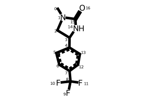 CN1CC(c2ccc(C(F)(F)F)cc2)NC1=O